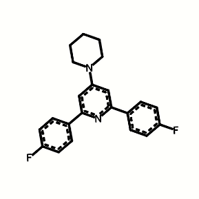 Fc1ccc(-c2cc(N3CCCCC3)cc(-c3ccc(F)cc3)n2)cc1